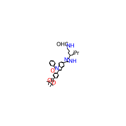 CC(C)CC(CCCNC=O)c1nc(-c2ccc3c(c2)cc2n3C(c3ccccc3)Oc3cc(B4OC(C)(C)C(C)(C)O4)ccc3-2)c[nH]1